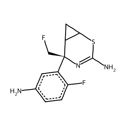 NC1=N[C@](CF)(c2cc(N)ccc2F)C2CC2S1